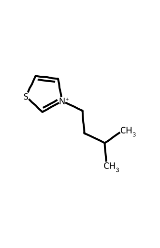 CC(C)CC[n+]1ccsc1